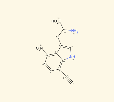 C#Cc1ccc([N+](=O)[O-])c2c(CC(N)C(=O)O)c[nH]c12